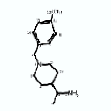 CC(N)C1CCN(Cc2ccc(C(C)(C)C)cc2)CC1